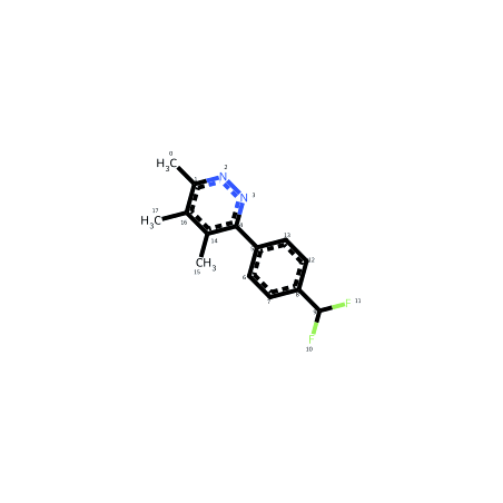 Cc1nnc(-c2ccc(C(F)F)cc2)c(C)c1C